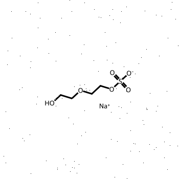 O=S(=O)([O-])OCCOCCO.[Na+]